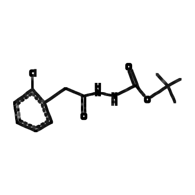 CC(C)(C)OC(=O)NNC(=O)Cc1ccccc1Cl